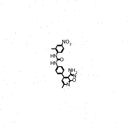 Cc1cc(-c2ccc(NC(=O)Nc3ccc([N+](=O)[O-])cc3C)cc2)c2c(N)noc2n1